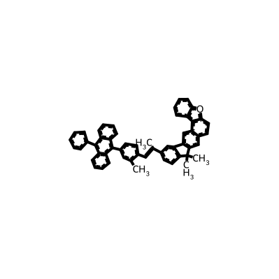 C/C(=C\c1ccc(-c2c3ccccc3c(-c3ccccc3)c3ccccc23)cc1C)c1ccc2c(c1)-c1cc3c(ccc4oc5ccccc5c43)cc1C2(C)C